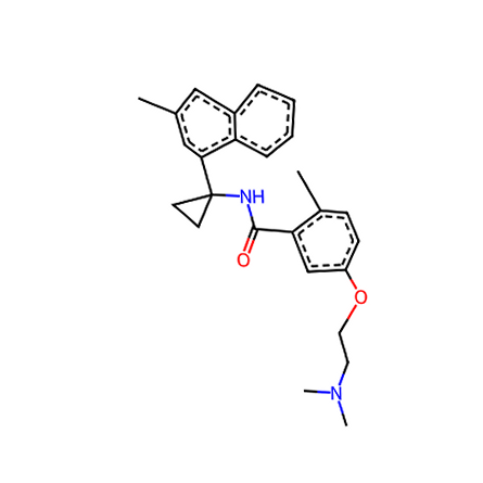 Cc1cc(C2(NC(=O)c3cc(OCCN(C)C)ccc3C)CC2)c2ccccc2c1